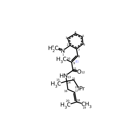 C=Nc1ccccc1/C=C(\C)C(=O)NC(C)(CC=C(C)C)CC(C)C